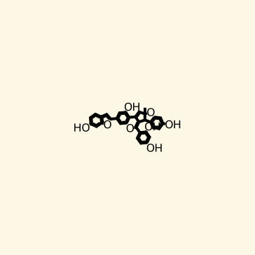 CC12C=C3C(=C(c4ccc(O)cc4O)Oc4cc(-c5cc6ccc(O)cc6o5)cc(O)c43)C1c1ccc(O)cc1O2